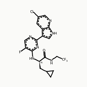 O=C(NCC(F)(F)F)[C@@H](CC1CC1)Nc1nc(-c2c[nH]c3ncc(Cl)cc23)ncc1F